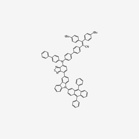 CC(C)(C)c1ccc(C(=C(C#N)c2ccc(-c3ccc(N(c4ccc(-c5ccccc5)cc4)c4ccc(-c5ccc6c(c5)c5ccccc5n6-c5ccc6c(-c7ccccc7)c7ccccc7c(-c7ccccc7)c6c5)c5nsnc45)cc3)cc2)c2ccc(C(C)(C)C)cc2)cc1